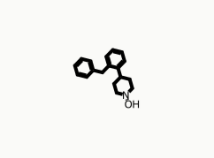 ON1CCC(c2ccccc2Cc2ccccc2)CC1